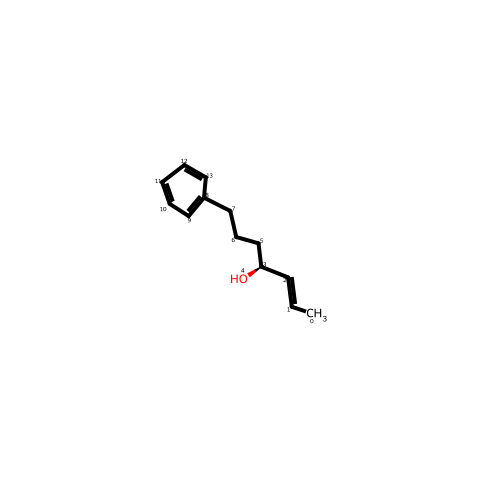 C/C=C/[C@@H](O)CCCc1ccccc1